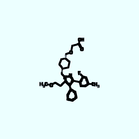 COCCc1c(-c2ccccc2)c(-c2ccc(C)cc2F)nn1C[C@H]1CC[C@@H](COCC(=O)O)CC1